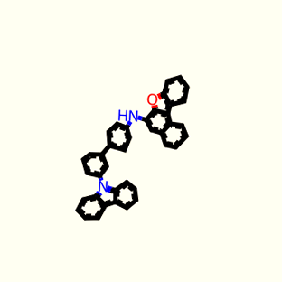 c1cc(-c2ccc(Nc3cc4ccccc4c4c3oc3ccccc34)cc2)cc(-n2c3ccccc3c3ccccc32)c1